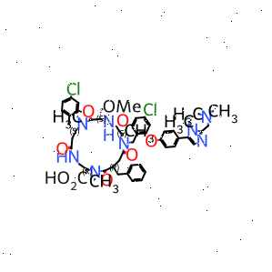 COC[C@@H]1NC(=O)[C@H](C)N(Cc2ccc(Cl)cc2Oc2ccc(-c3cnc(CN(C)C)n3C)cc2)C(=O)C[C@@H](Cc2ccccc2)C(=O)N(C)[C@@H](C(=O)O)CNC(=O)C[C@H](Cc2ccc(Cl)cc2)N(C)C1=O